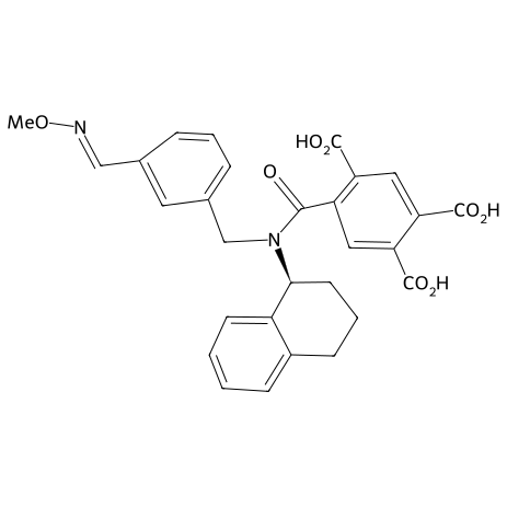 CO/N=C/c1cccc(CN(C(=O)c2cc(C(=O)O)c(C(=O)O)cc2C(=O)O)[C@H]2CCCc3ccccc32)c1